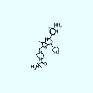 Cc1c(CN2CCN(C(=O)C(C)(C)N)CC2)sc2c(N3CCOCC3)nc(-c3cnc(N)nc3)nc12